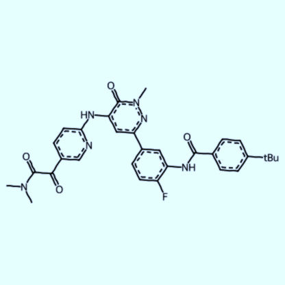 CN(C)C(=O)C(=O)c1ccc(Nc2cc(-c3ccc(F)c(NC(=O)c4ccc(C(C)(C)C)cc4)c3)nn(C)c2=O)nc1